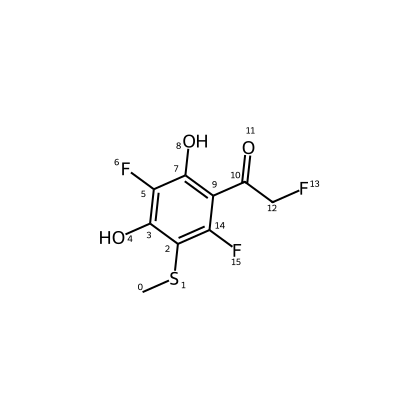 CSc1c(O)c(F)c(O)c(C(=O)CF)c1F